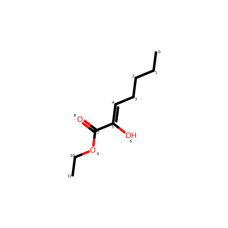 CCCCC=C(O)C(=O)OCC